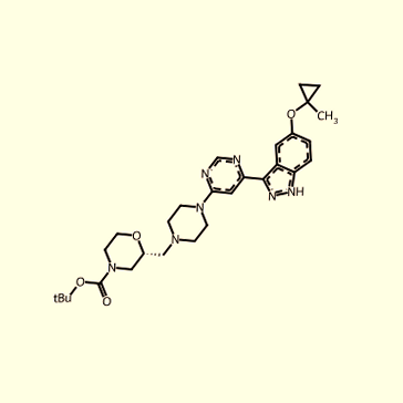 CC(C)(C)OC(=O)N1CCO[C@H](CN2CCN(c3cc(-c4n[nH]c5ccc(OC6(C)CC6)cc45)ncn3)CC2)C1